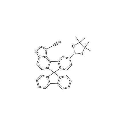 CC1(C)OB(c2ccc3c(c2)-c2c(ccc4scc(C#N)c24)C32c3ccccc3-c3ccccc32)OC1(C)C